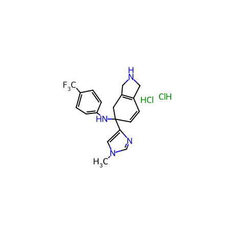 Cl.Cl.Cn1cnc(C2(Nc3ccc(C(F)(F)F)cc3)C=CC3=C(CNC3)C2)c1